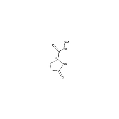 CCCCNC(=O)[C@@H]1CCC(=O)N1